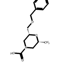 C[C@@H]1CN(C(=O)O)C[C@H](COCc2ccccc2)O1